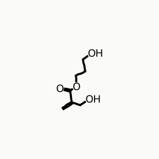 C=C(CO)C(=O)OCCCO